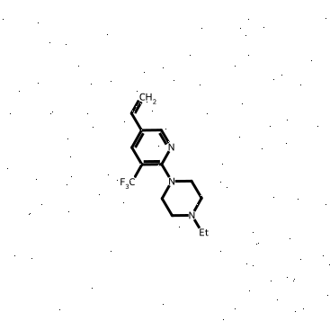 C=Cc1cnc(N2CCN(CC)CC2)c(C(F)(F)F)c1